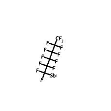 FC(F)(F)C(F)(F)C(F)(F)C(F)(F)C(F)(F)[C](F)(F)[Sb]